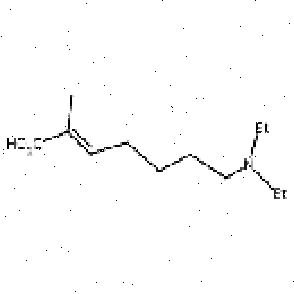 CCN(CC)CCCCC=C(C)C(=O)O